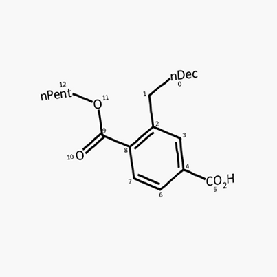 CCCCCCCCCCCc1cc(C(=O)O)ccc1C(=O)OCCCCC